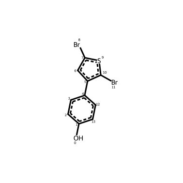 Oc1ccc(-c2cc(Br)sc2Br)cc1